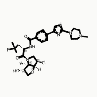 CN1CCN(c2nc(-c3ccc(C(=O)N[C@@H](CC(C)(C)F)C(=O)N4C[C@@H](Cl)[C@H]5OC[C@H](O)[C@H]54)cc3)cs2)CC1